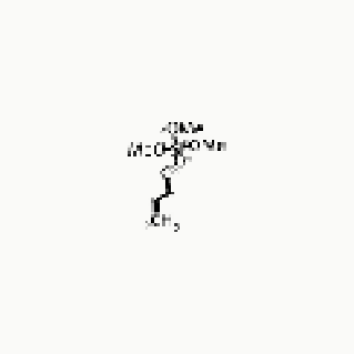 C=CCOO[Si](OC)(OC)OC